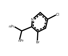 CCCC(CCC)c1ncc(Cl)cc1Br